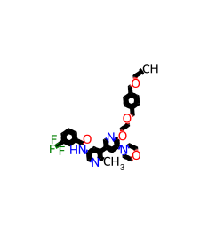 C#CCOCc1ccc(COCCOc2ncc(-c3cc(NC(=O)c4cccc(C(F)(F)F)c4)cnc3C)cc2N2CCOCC2)cc1